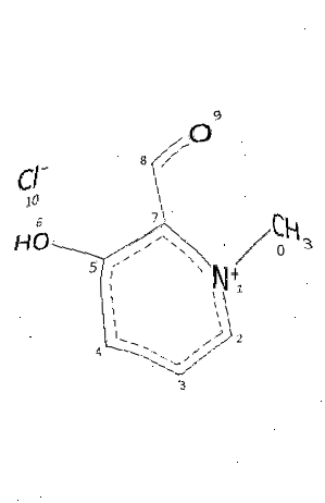 C[n+]1cccc(O)c1C=O.[Cl-]